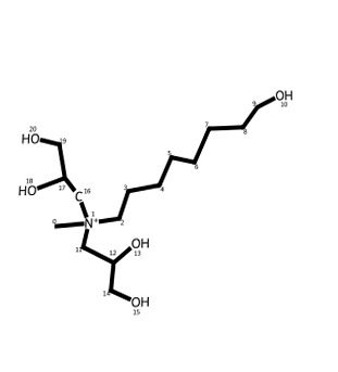 C[N+](CCCCCCCCO)(CC(O)CO)CC(O)CO